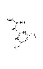 CSC(=N)Nc1nc(C)cc(C)n1